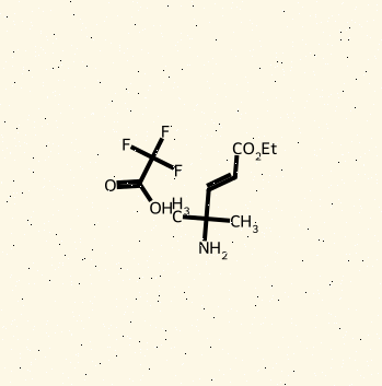 CCOC(=O)C=CC(C)(C)N.O=C(O)C(F)(F)F